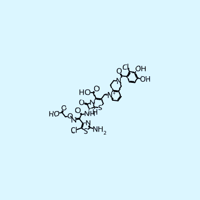 Nc1nc(/C(=N/OCC(=O)O)C(=O)N[C@@H]2C(=O)N3C(C(=O)O)=C(C[n+]4cccc5c4CCN(C(=O)c4ccc(O)c(O)c4Cl)C5)CS[C@H]23)c(Cl)s1